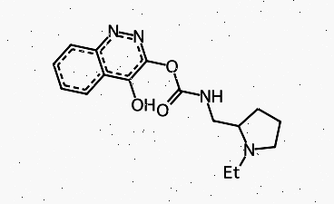 CCN1CCCC1CNC(=O)Oc1nnc2ccccc2c1O